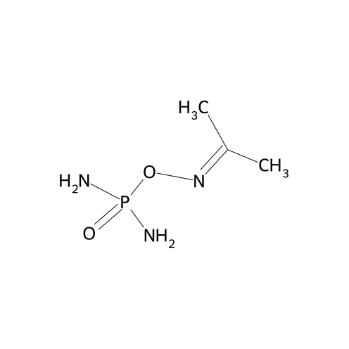 CC(C)=NOP(N)(N)=O